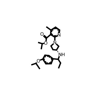 CCC(N[C@@H]1CCN(c2nccc(C)c2C(=O)OC(C)C)C1)c1ccc(OC(C)C)cc1